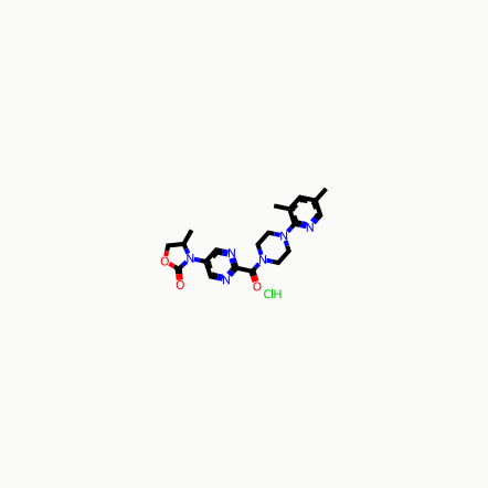 Cc1cnc(N2CCN(C(=O)c3ncc(N4C(=O)OCC4C)cn3)CC2)c(C)c1.Cl